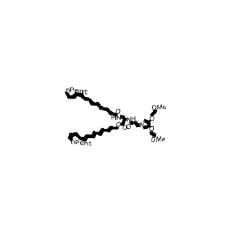 CCCCC/C=C\C/C=C\CCCCCCCCOC(=O)C(CNC(=O)CCCCCCC/C=C\C/C=C\CCCCC)NC(=O)CCN1C[C@H](OCCOC)[C@H](OCCOC)C1